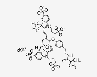 C=C(C)C(=O)NCCc1ccc(OC2=C(C=CC3=[N+](CCCS(=O)(=O)[O-])c4ccc(S(=O)(=O)[O-])cc4C3(C)C)CCCC2=CC=C2N(CCCS(=O)(=O)[O-])c3ccc(S(=O)(=O)[O-])cc3C2(C)C)cc1.[K+].[K+].[K+]